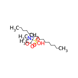 CCCCCCCCCC(CCCCCC)C(C(=O)[O-])([N+](C)(C)C)S(=O)(=O)O